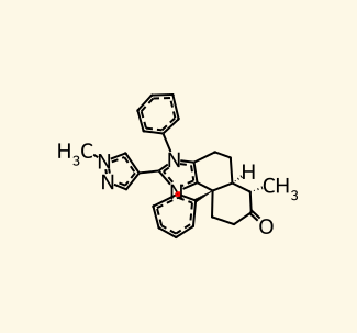 C[C@@H]1C(=O)CC[C@]2(c3ccccc3)c3nc(-c4cnn(C)c4)n(-c4ccccc4)c3CC[C@@H]12